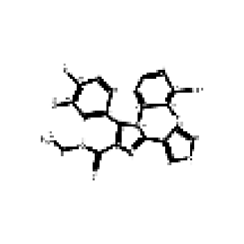 CCOC(=O)c1nc(-c2ccsc2)n(-c2cccc(Cl)c2F)c1-c1ccc(F)c(Cl)c1